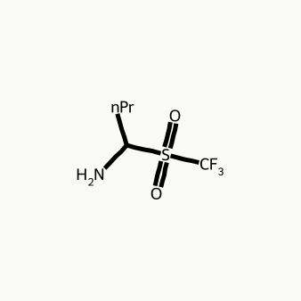 [CH2]CCC(N)S(=O)(=O)C(F)(F)F